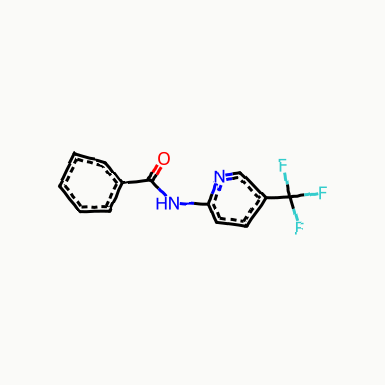 O=C(Nc1ccc(C(F)(F)F)cn1)c1ccccc1